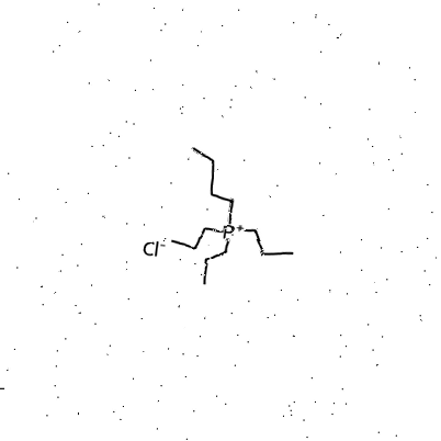 CCCC[P+](CCC)(CCC)CCC.[Cl-]